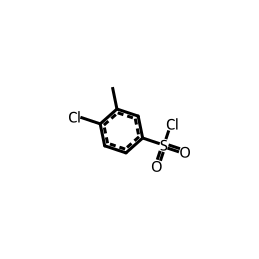 Cc1cc(S(=O)(=O)Cl)ccc1Cl